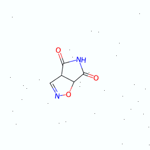 O=C1NC(=O)C2ON=CC12